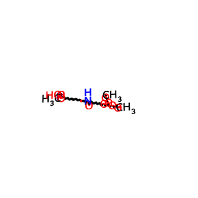 COCCOCC(COCCCCCCC(=O)NCCCCCCCCCCCCOP(C)(=O)O)OCCOC